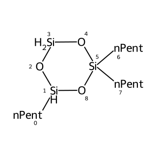 CCCCC[SiH]1O[SiH2]O[Si](CCCCC)(CCCCC)O1